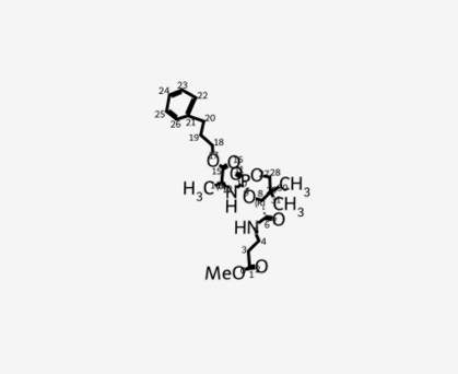 COC(=O)CCNC(=O)[C@@H]1OP(=O)(N[C@@H](C)C(=O)OCCCc2ccccc2)OCC1(C)C